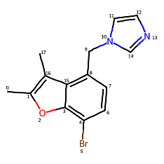 Cc1oc2c(Br)ccc(Cn3ccnc3)c2c1C